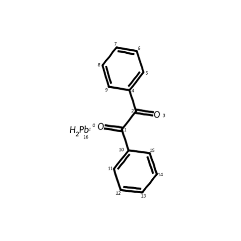 O=C(C(=O)c1ccccc1)c1ccccc1.[PbH2]